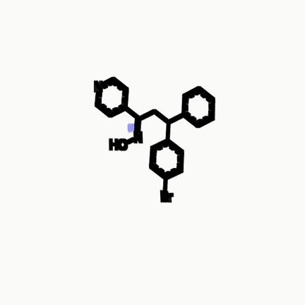 O/N=C(/CC(c1ccccc1)c1ccc(Br)cc1)c1ccncc1